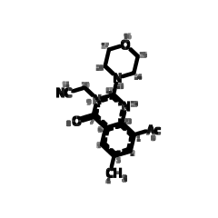 CC(=O)c1cc(C)cc2c(=O)n(CC#N)c(N3CCOCC3)nc12